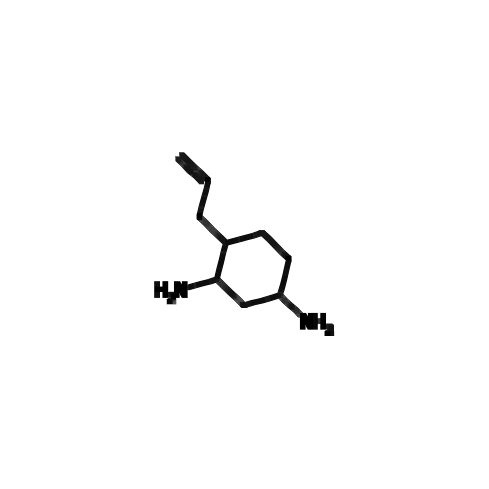 C=CCC1CCC(N)CC1N